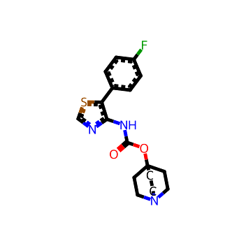 O=C(Nc1ncsc1-c1ccc(F)cc1)OC12CCN(CC1)CC2